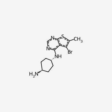 Cc1sc2ncnc(N[C@H]3CC[C@H](N)CC3)c2c1Br